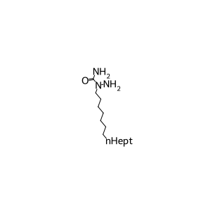 CCCCCCCCCCCCCCN(N)C(N)=O